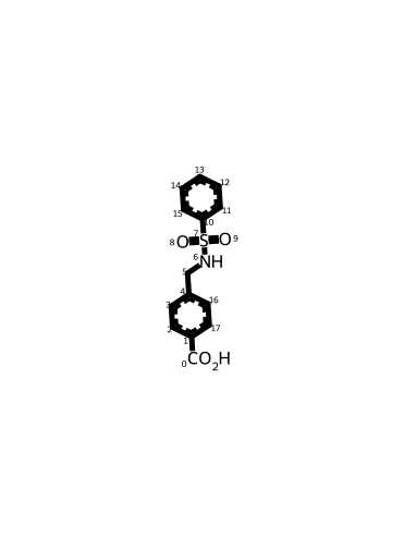 O=C(O)c1ccc(CNS(=O)(=O)c2ccccc2)cc1